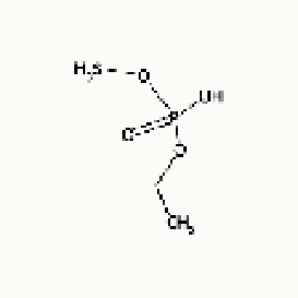 CCOP(=O)(O)O[SiH3]